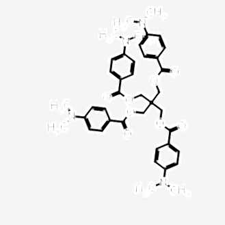 CN(C)c1ccc(C(=O)OCC(COC(=O)c2ccc(N(C)C)cc2)(COC(=O)c2ccc(N(C)C)cc2)COC(=O)c2ccc(N(C)C)cc2)cc1